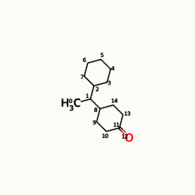 CC(C1CCCCC1)C1CCC(=O)CC1